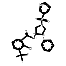 O=C(N[C@H]1CN(S(=O)(=O)c2cccnc2)C[C@@H]1c1ccccc1)c1cccc(C(F)(F)F)c1Cl